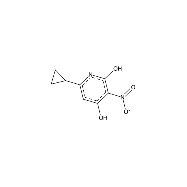 O=[N+]([O-])c1c(O)cc(C2CC2)nc1O